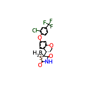 B[C@]1([C@H]2CCOc3cc(Oc4ccc(C(F)(F)F)cc4Cl)ccc32)SC(=O)NC1=O